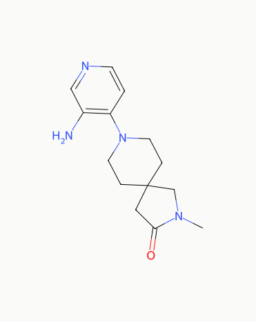 CN1CC2(CCN(c3ccncc3N)CC2)CC1=O